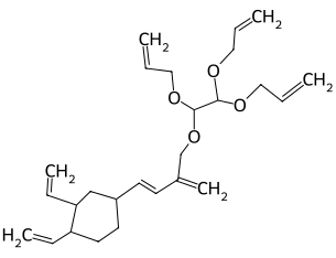 C=CCOC(OCC=C)C(OCC=C)OCC(=C)/C=C/C1CCC(C=C)C(C=C)C1